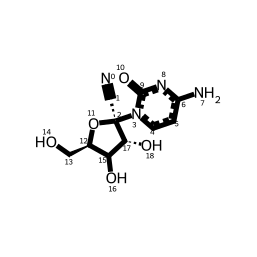 N#C[C@@]1(n2ccc(N)nc2=O)O[C@H](CO)C(O)[C@H]1O